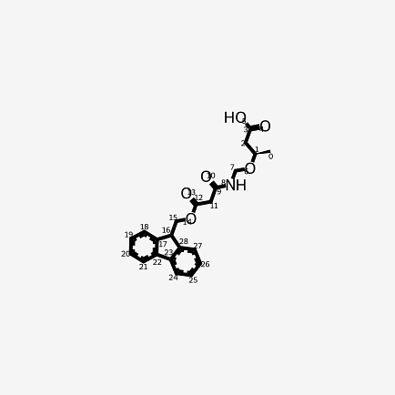 C[C@H](CC(=O)O)OCNC(=O)CC(=O)OCC1c2ccccc2-c2ccccc21